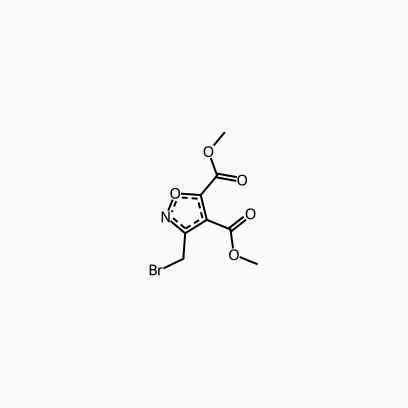 COC(=O)c1onc(CBr)c1C(=O)OC